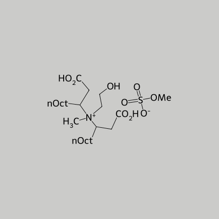 CCCCCCCCC(CC(=O)O)[N+](C)(CCO)C(CCCCCCCC)CC(=O)O.COS(=O)(=O)[O-]